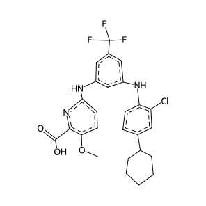 COc1ccc(Nc2cc(Nc3ccc(C4CCCCC4)cc3Cl)cc(C(F)(F)F)c2)nc1C(=O)O